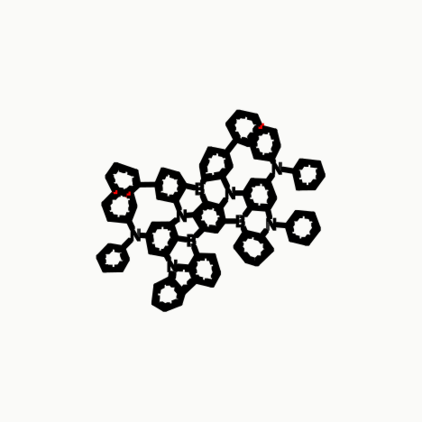 c1ccc(-c2ccc3c(c2)N2c4cc(N(c5ccccc5)c5ccccc5)cc5c4B(c4ccccc4N5c4ccccc4)c4cc5c6c(c42)B3c2ccc(-c3ccccc3)cc2N6c2cc(N(c3ccccc3)c3ccccc3)cc3c2B5c2cccc4c5ccccc5n-3c24)cc1